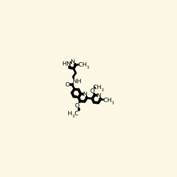 CCOc1cc(-c2ccc(C)nc2OC)nc2cc(C(=O)NCCc3c[nH]nc3C)ccc12